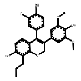 CCCc1c(O)ccc2c1OCC(c1cc(OC)c(O)c(OC)c1)=C2c1ccc(O)c(F)c1